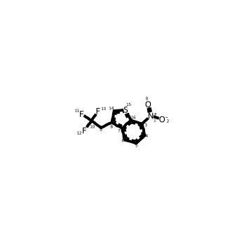 O=[N+]([O-])c1cccc2c(CC(F)(F)F)csc12